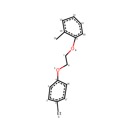 CCc1ccc(OCCOc2ccccc2C)cc1